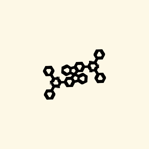 C1=CC2c3ccc(-c4nc(-c5ccccc5)nc(-c5ccccc5)n4)cc3C3(c4ccccc4-c4ccc(-c5nc(-c6ccccc6)nc(-c6ccccc6)n5)cc43)C2C=C1